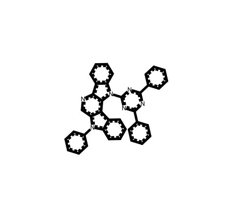 c1ccc(-c2nc(-c3ccccc3)nc(-n3c4ccccc4c4ncc5c(c6ccccc6n5-c5ccccc5)c43)n2)cc1